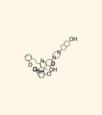 COc1ccccc1CCC1=C(C(=O)O)C(C)(c2c(Cl)cccc2Cl)C(C(=O)O)=C(CC(=O)N2CCN(C3CC4CC(O)CC4C3)CC2)N1C